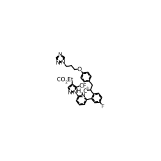 CCOC(=O)c1cnn(-c2cccc(-c3cc(F)ccc3C(C)Cc3ccc(OCCCn4cncn4)cc3)n2)c1C(F)(F)F